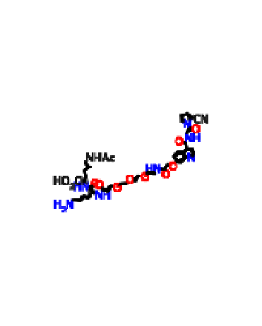 CC(=O)NCCCC[C@H](NC(=O)[C@H](CCCCN)NC(=O)CCOCCOCCOCCNC(=O)COc1ccc2c(C(=O)NCC(=O)N3CCC[C@H]3C#N)ccnc2c1)C(=O)O